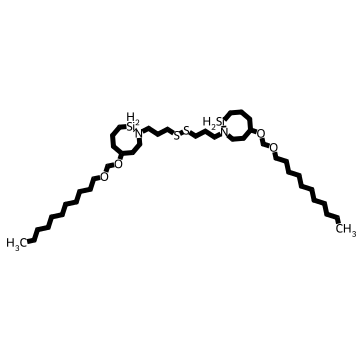 CCCCCCCCCCCOCOC1CCC[SiH2]N(CCCSSCCCN2CCC(OCOCCCCCCCCCCC)CCC[SiH2]2)CC1